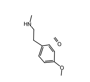 C=O.CNCCc1ccc(OC)cc1